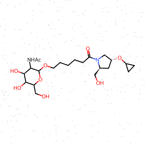 CC(=O)NC1C(OCCCCCC(=O)N2C[C@H](OC3CC3)C[C@H]2CO)OC(CO)C(O)C1O